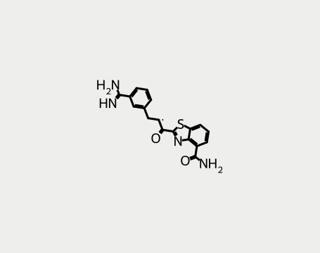 N=C(N)c1cccc(C[CH]C(=O)c2nc3c(C(N)=O)cccc3s2)c1